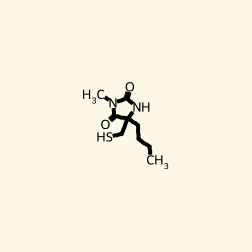 CCCCC1(CS)NC(=O)N(C)C1=O